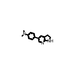 CN(C)c1ccc(-c2cnc3c(c2)CCN3)cc1